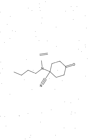 C=C.CCCCN(C)C1(C#N)CCC(=O)CC1